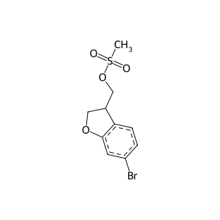 CS(=O)(=O)OCC1COc2cc(Br)ccc21